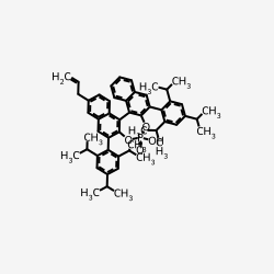 C=CCc1ccc2c3c(c(-c4c(C(C)C)cc(C(C)C)cc4C(C)C)cc2c1)OP(=O)(O)Oc1c(-c2c(C(C)C)cc(C(C)C)cc2C(C)C)cc2ccccc2c1-3